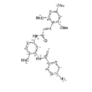 COc1cc(OC)c(C=CC(=O)Nc2ccc(OC)c(NC(=O)c3ccc(N)cc3)c2)c(OC)c1